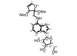 COC1C=COC1(CNc1ncnc2c1ncn2[C@@H]1O[C@H](CO)[C@@H](O)[C@@H]1O)OC